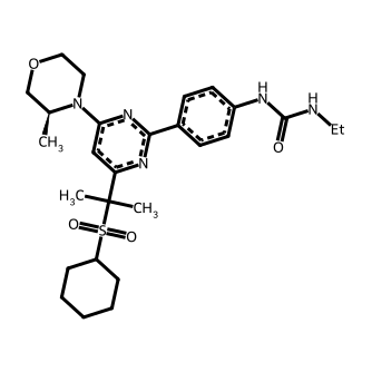 CCNC(=O)Nc1ccc(-c2nc(N3CCOC[C@@H]3C)cc(C(C)(C)S(=O)(=O)C3CCCCC3)n2)cc1